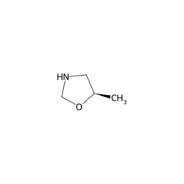 C[C@@H]1CNCO1